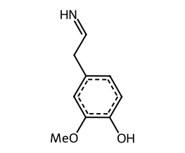 COc1cc(CC=N)ccc1O